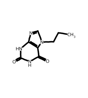 CCCn1cnc2[nH]c(=O)[nH]c(=O)c21